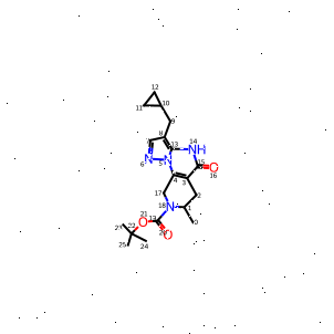 CC1Cc2c(n3ncc(CC4CC4)c3[nH]c2=O)CN1C(=O)OC(C)(C)C